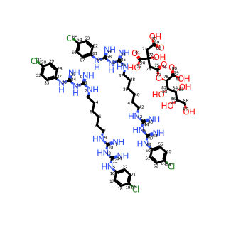 N=C(NCCCCCCNC(=N)NC(=N)Nc1ccc(Cl)cc1)NC(=N)Nc1ccc(Cl)cc1.N=C(NCCCCCCNC(=N)NC(=N)Nc1ccc(Cl)cc1)NC(=N)Nc1ccc(Cl)cc1.O=C(O)CC(O)(CC(=O)O[C@@H](C(=O)O)[C@@H](O)[C@H](O)[C@H](O)CO)C(=O)O